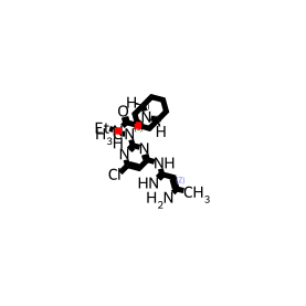 CCNC(=O)CN1[C@@H]2CCC[C@H]1C[C@H](N(C)c1nc(Cl)cc(NC(=N)/C=C(/C)N)n1)C2